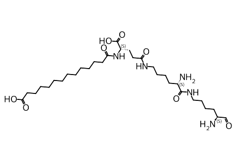 N[C@H](C=O)CCCCNC(=O)[C@@H](N)CCCCNC(=O)CC[C@H](NC(=O)CCCCCCCCCCCCC(=O)O)C(=O)O